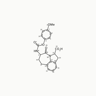 COc1ccc(OC(=O)NC2CCc3cccc4c3N(C2=O)C(C(=O)O)C4)cc1